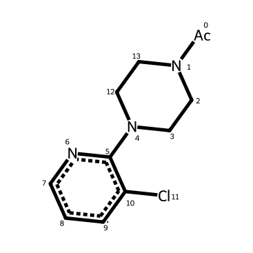 CC(=O)N1CCN(c2ncc[c]c2Cl)CC1